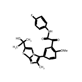 COc1ccc(-c2c(C)nc3sc(C(C)(C)O)cn23)cc1C(=O)C(=O)Nc1ccc(F)cc1